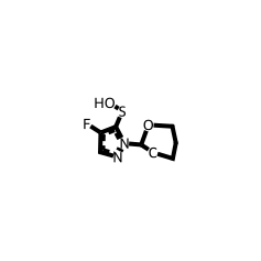 OSc1c(F)cnn1C1CCCCO1